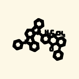 CC1(C)c2cc(-n3c4ccccc4c4ccc5c(c6ccccc6n5-c5ccccc5)c43)ccc2C(=O)c2c(-c3ccccc3)cccc21